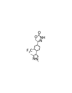 Cc1nn(C)cc1-c1ccc(C2=NNC(=O)OC2)cc1C(F)(F)F